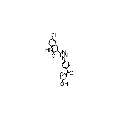 O=C(c1ccc(-n2cc(-c3cc4cc(Cl)ccc4[nH]c3=O)nn2)cc1)N1CC(O)CO1